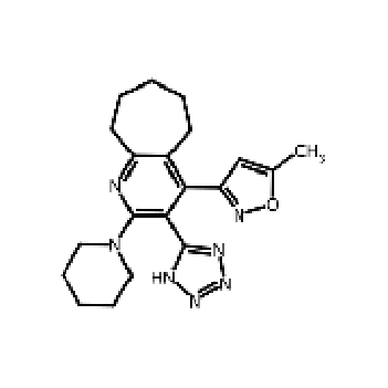 Cc1cc(-c2c3c(nc(N4CCCCC4)c2-c2nnn[nH]2)CCCCC3)no1